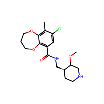 COC1CNCC[C@H]1CNC(=O)c1cc(Cl)c(C)c2c1OCCCO2